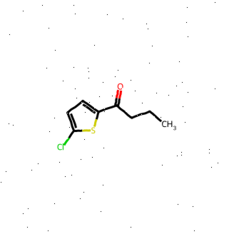 CCCC(=O)c1ccc(Cl)s1